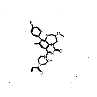 C=CC(=O)N1CCN(c2nc(=O)n3c4c(c(-c5ccc(F)cc5)c(C)cc24)SC[C@H](OC)C3)[C@@H](C)C1